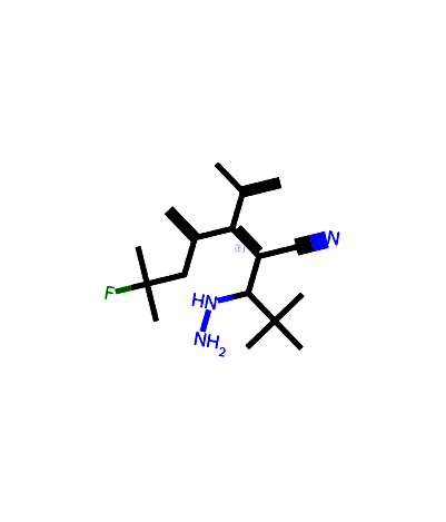 C=C(C)/C(C(=C)CC(C)(C)F)=C(\C#N)C(NN)C(C)(C)C